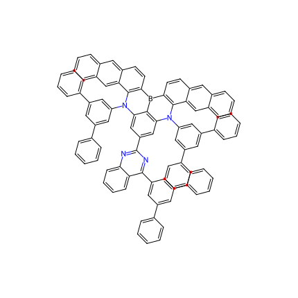 c1ccc(-c2cc(-c3ccccc3)cc(-c3nc(-c4cc5c6c(c4)N(c4cc(-c7ccccc7)cc(-c7ccccc7)c4)c4c(ccc7cc8ccccc8cc47)B6c4ccc6cc7ccccc7cc6c4N5c4cc(-c5ccccc5)cc(-c5ccccc5)c4)nc4ccccc34)c2)cc1